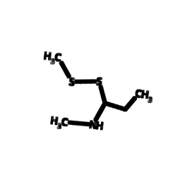 CCC(NC)SSC